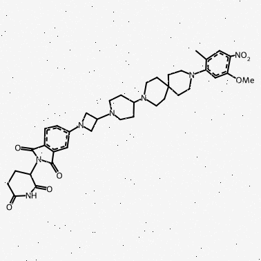 COc1cc(N2CCC3(CC2)CCN(C2CCN(C4CN(c5ccc6c(c5)C(=O)N(C5CCC(=O)NC5=O)C6=O)C4)CC2)CC3)c(C)cc1[N+](=O)[O-]